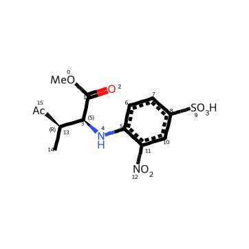 COC(=O)[C@@H](Nc1ccc(S(=O)(=O)O)cc1[N+](=O)[O-])[C@@H](C)C(C)=O